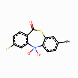 CC(C)c1ccc2c(c1)SC(=O)c1ccc(F)cc1[N+]2([O-])[O-]